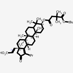 CC(C)C1=C2[C@H]3CC[C@@H]4[C@@]5(C)CC[C@H](OC(=O)CC(C)(C)C(=O)OC(C)(C)C)C(C)(C)C5CC[C@@]4(C)[C@]3(C)CC[C@@]2(/C=C/C(=O)O)CC1=O